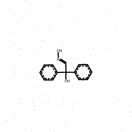 ON=CC(O)(c1ccccc1)c1ccccc1